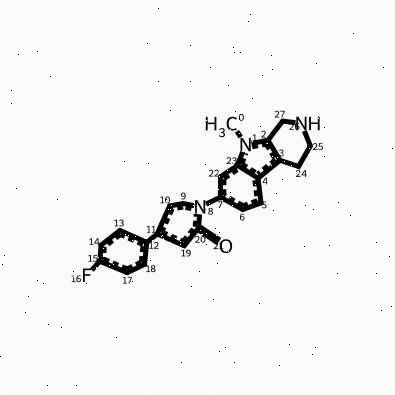 Cn1c2c(c3ccc(-n4ccc(-c5ccc(F)cc5)cc4=O)cc31)CCNC2